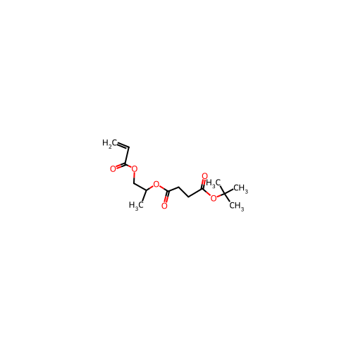 C=CC(=O)OCC(C)OC(=O)CCC(=O)OC(C)(C)C